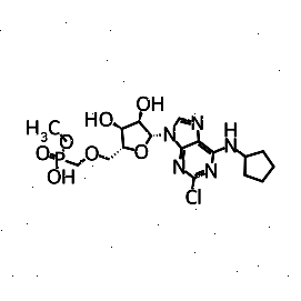 COP(=O)(O)COC[C@H]1O[C@@H](n2cnc3c(NC4CCCC4)nc(Cl)nc32)[C@H](O)[C@@H]1O